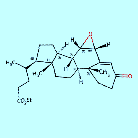 CCOC(=O)CCC(C)[C@H]1CC[C@H]2[C@@H]3[C@@H]4O[C@@H]4C4=CC(=O)CC[C@]4(C)[C@H]3CC[C@]12C